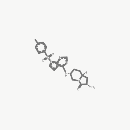 Cc1ccc(S(=O)(=O)n2ccc3c(N[C@@H]4CC[C@@H]5C[C@H](N)C(=O)N5C4)ncnc32)cc1